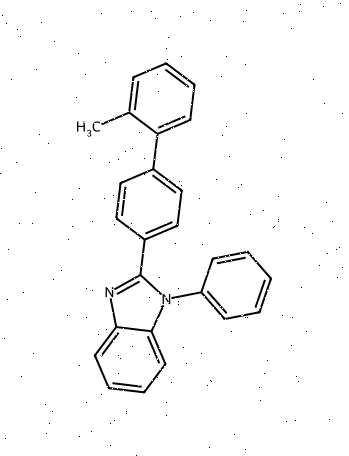 Cc1ccccc1-c1ccc(-c2nc3ccccc3n2-c2ccccc2)cc1